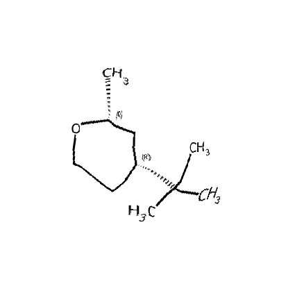 C[C@@H]1C[C@H](C(C)(C)C)CCO1